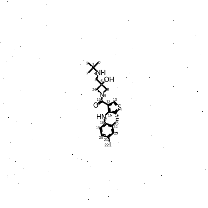 CC(C)(C)NCC1(O)CN(C(=O)c2cscc2Nc2ccc(I)cc2F)C1